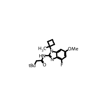 COc1cc(F)c2nc(NC(=O)CC(C)(C)C)n(C3(C)CCC3)c2c1